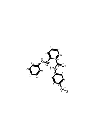 O=C(Nc1ccc([N+](=O)[O-])cc1)c1ccccc1[Se]Sc1ccccc1